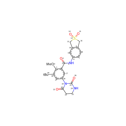 COc1c(C(=O)Nc2ccc3c(c2)CS(=O)(=O)C3)cc(N2C(=O)CCNC2=O)cc1C(C)(C)C